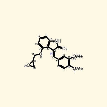 COc1ccc(/C=C2\C(=O)Nc3cccc(OCC4CO4)c32)cc1OC